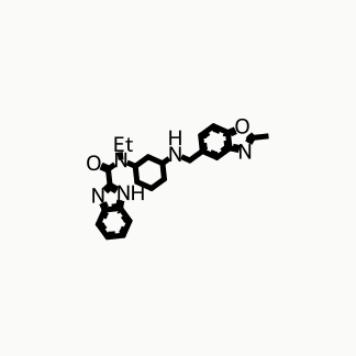 CCN(C(=O)c1nc2ccccc2[nH]1)C1CCCC(NCc2ccc3oc(C)nc3c2)C1